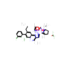 COC(=O)N1[C@@H]2C[C@@H]([C@@H](OC(F)F)C2)[C@@H]1c1cc2c(C)nc3c(F)c(-c4cccc(Cl)c4Cl)c(CCC#N)cc3c2n1[C@H]1[C@H]2CN[C@@H]1C2